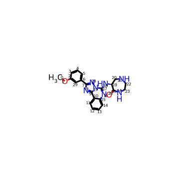 COc1cccc(-c2nc3c4ccccc4nc(N[C@H]4CNCCNC4=O)n3n2)c1